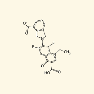 CCn1cc(C(=O)O)c(=O)c2cc(F)c(N3Cc4cccc([N+](=O)[O-])c4C3)c(F)c21